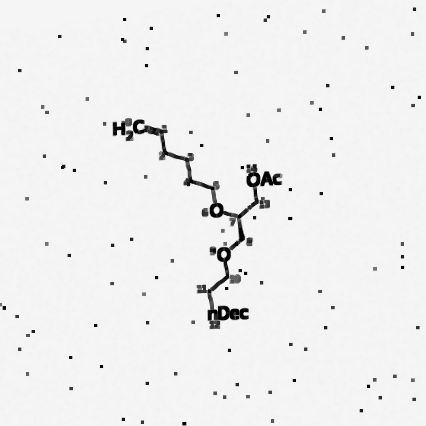 C=CCCCCO[C@H](COCCCCCCCCCCCC)COC(C)=O